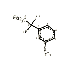 CCOC(=O)C(F)(F)c1cccc(C)c1